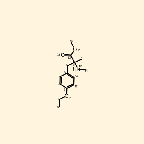 CCOc1ccc(CC(C)(NC)C(=O)OC)cc1